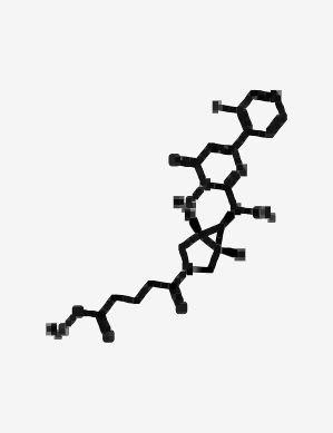 COC(=O)CCCC(=O)N1C[C@@H]2[C@H](C1)[C@H]2N(C)c1nc(-c2ccncc2F)cc(=O)n1C